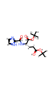 CC(C)(C)OC(=O)CC[C@H](NC(=O)c1ncc[nH]1)C(=O)OC(C)(C)C